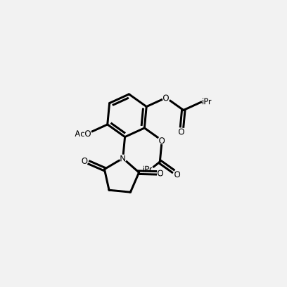 CC(=O)Oc1ccc(OC(=O)C(C)C)c(OC(=O)C(C)C)c1N1C(=O)CCC1=O